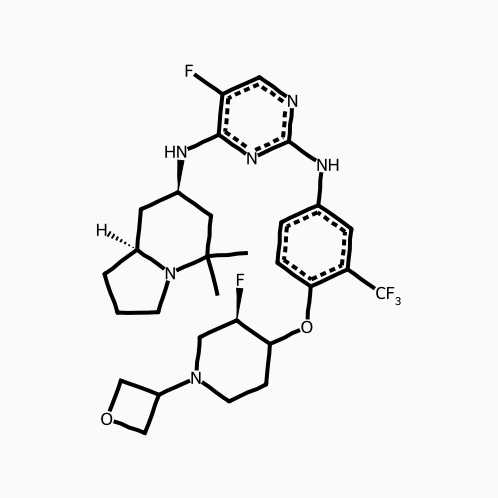 CC1(C)C[C@H](Nc2nc(Nc3ccc(OC4CCN(C5COC5)C[C@H]4F)c(C(F)(F)F)c3)ncc2F)C[C@@H]2CCCN21